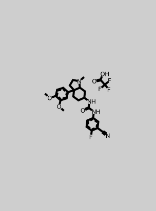 COc1ccc(C23CCC(NC(=O)Nc4ccc(F)c(C#N)c4)CC2N(C)CC3)cc1OC.O=C(O)C(F)(F)F